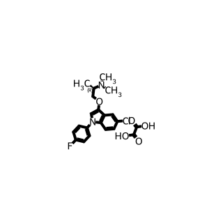 C[C@H](COc1cn(-c2ccc(F)cc2)c2ccc(Cl)cc12)N(C)C.O=C(O)C(=O)O